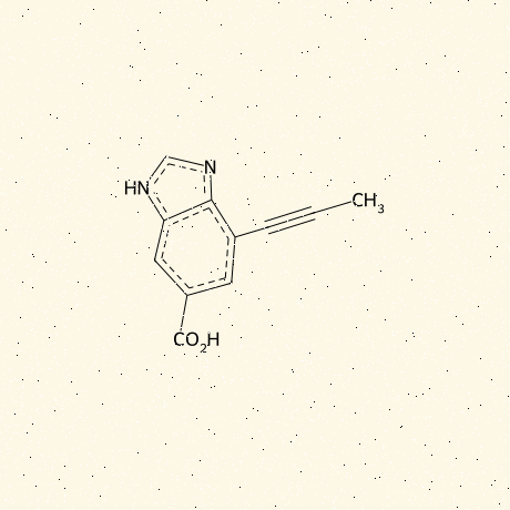 CC#Cc1cc(C(=O)O)cc2[nH]cnc12